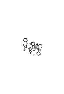 CC(C)(CNc1c(Nc2ccccc2)c(=O)c1=O)OP1N(c2ccccc2)[C@@H]2CCCC[C@H]2N1c1ccccc1